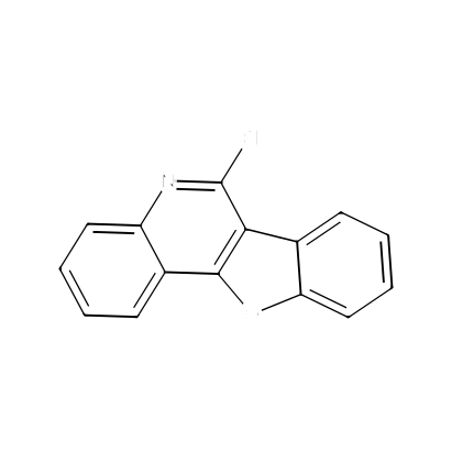 Clc1nc2ccccc2c2oc3ccccc3c12